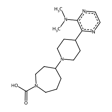 CN(C)c1nccnc1C1CCN(C2CCCN(C(=O)O)CC2)CC1